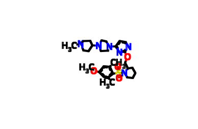 COc1cc(C)c(S(=O)(=O)N2CCCCC2COc2nccc(N3CCN(C4CCN(C)CC4)CC3)n2)c(C)c1